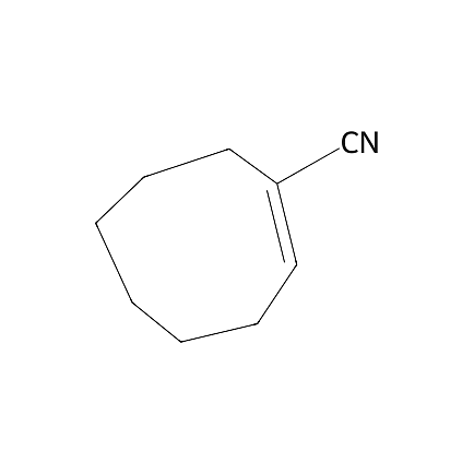 N#C/C1=C/CCCCCC1